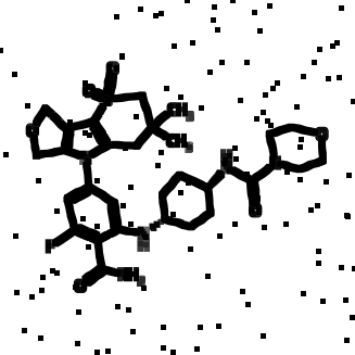 CC1(C)Cc2c(c3c(n2-c2cc(F)c(C(N)=O)c(N[C@H]4CC[C@H](NC(=O)N5CCOCC5)CC4)c2)COC3)S(=O)(=O)C1